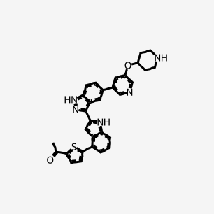 CC(=O)c1ccc(-c2cccc3[nH]c(-c4n[nH]c5ccc(-c6cncc(OC7CCNCC7)c6)cc45)cc23)s1